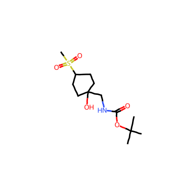 CC(C)(C)OC(=O)NCC1(O)CCC(S(C)(=O)=O)CC1